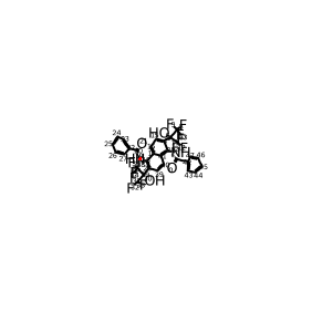 O=C(Nc1c(C(O)(C(F)(F)F)C(F)(F)F)ccc2c(NC(=O)c3ccccc3)c(C(O)(C(F)(F)F)C(F)(F)F)ccc12)c1ccccc1